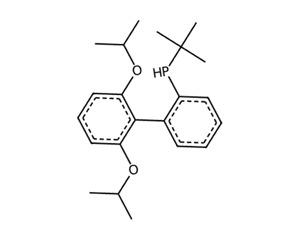 CC(C)Oc1cccc(OC(C)C)c1-c1ccccc1PC(C)(C)C